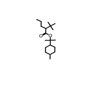 CCCC(C(=O)OC(C)(C)C1CCC(C)CC1)C(C)(C)C